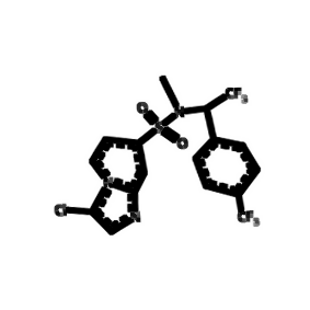 CN(C(c1ccc(C(F)(F)F)cc1)C(F)(F)F)S(=O)(=O)c1ccn2c(Cl)cnc2c1